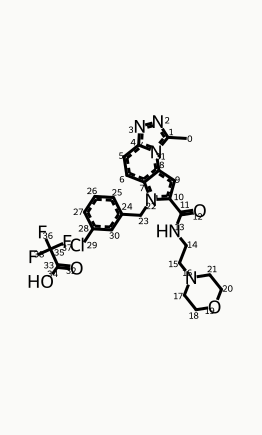 Cc1nnc2ccc3c(cc(C(=O)NCCN4CCOCC4)n3Cc3cccc(Cl)c3)n12.O=C(O)C(F)(F)F